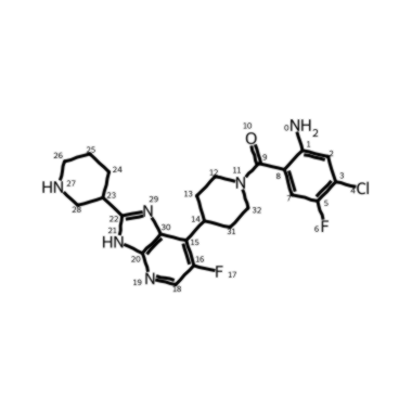 Nc1cc(Cl)c(F)cc1C(=O)N1CCC(c2c(F)cnc3[nH]c(C4CCCNC4)nc23)CC1